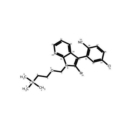 C[Si](C)(C)CCOCn1c(Br)c(-c2cc(Cl)ccc2C#N)c2cccnc21